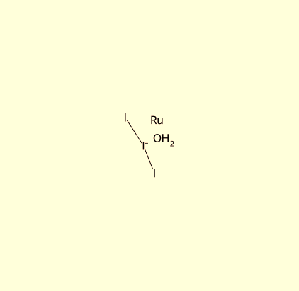 I[I-]I.O.[Ru]